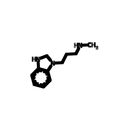 CNCCCN1CNc2ccccc21